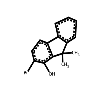 CC1(C)c2ccccc2-c2ccc(Br)c(O)c21